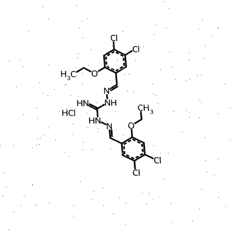 CCOc1cc(Cl)c(Cl)cc1C=NNC(=N)NN=Cc1cc(Cl)c(Cl)cc1OCC.Cl